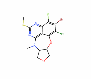 CSc1nc2c3c(c(Cl)c(Br)c(F)c3n1)OC1COCC1N2C